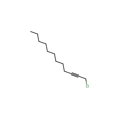 CCCCCCCCCC#CCCl